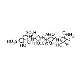 CCn1c(O)c(/N=N/c2cc(OC)c(/N=N/c3ccc(/N=N/c4c(S(=O)(=O)O)cc5cc(S(=O)(=O)O)cc(O)c5c4O)c(C(=O)O)c3)cc2OC)c(C)c(C(N)=O)c1=O